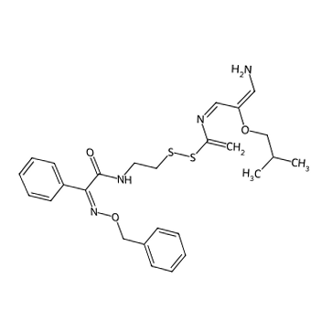 C=C(/N=C\C(=C/N)OCC(C)C)SSCCNC(=O)/C(=N\OCc1ccccc1)c1ccccc1